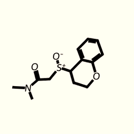 CN(C)C(=O)C[S+]([O-])C1CCOc2ccccc21